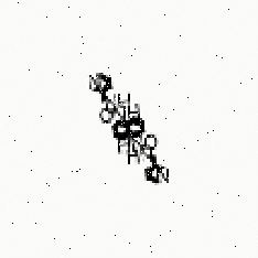 O=C(NCc1cccnc1)Nc1cccc2c(NC(=O)NCc3cccnc3)cccc12